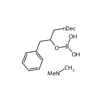 CCCCCCCCCCCC(Cc1ccccc1)OB(O)O.CNC